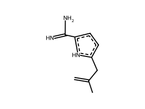 C=C(C)Cc1ccc(C(=N)N)[nH]1